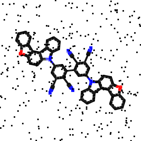 N#Cc1cc(-n2c3ccccc3c3c4c(ccc32)oc2ccccc24)cc(-c2cc(-n3c4ccccc4c4c5c(ccc43)oc3ccccc35)cc(C#N)c2C#N)c1C#N